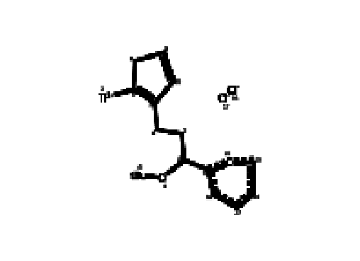 CC(C)(C)OC(CCC1=[C]([Ti+2])CC=C1)c1ccccc1.[Cl-].[Cl-]